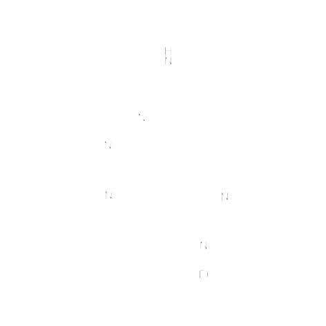 CCn1cnc2cc3c(N4CCNCC4)ncnc3cc21